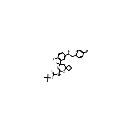 CC(C)(C)OC(=O)NC1=NC(C)(c2cc(NCc3ccc(F)cn3)ccc2F)CC2(CCC2)O1